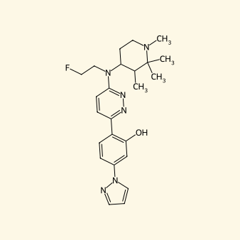 CC1C(N(CCF)c2ccc(-c3ccc(-n4cccn4)cc3O)nn2)CCN(C)C1(C)C